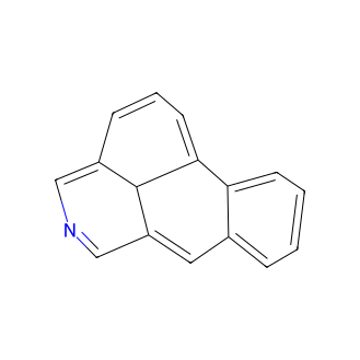 C1=CC2=CN=CC3=Cc4ccccc4C(=C1)C23